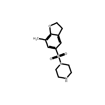 Cc1cc(S(=O)(=O)N2CCNCC2)cc2c1OCC2